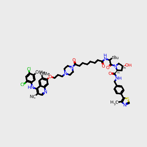 COc1cc(Nc2c(C#N)cnc3cc(OCCCN4CCN(C(=O)CCCCCCC(=O)NC(C(=O)N5C[C@H](O)C[C@H]5C(=O)NCc5ccc(-c6scnc6C)cc5)C(C)(C)C)CC4)c(OC)cc23)c(Cl)cc1Cl